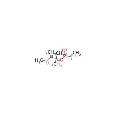 C=CC(=O)OC(C)(C)C(C)CC